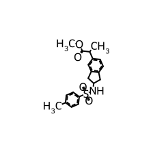 COC(=O)C(C)c1ccc2c(c1)CC(NS(=O)(=O)c1ccc(C)cc1)C2